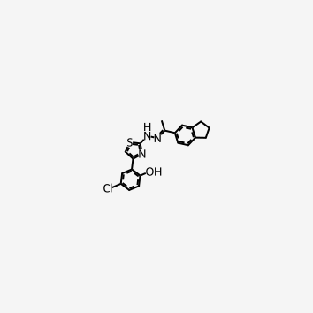 CC(=NNc1nc(-c2cc(Cl)ccc2O)cs1)c1ccc2c(c1)CCC2